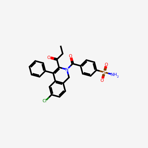 CCC(=O)C1=C(c2ccccc2)c2cc(Cl)ccc2CN1C(=O)c1ccc(S(N)(=O)=O)cc1